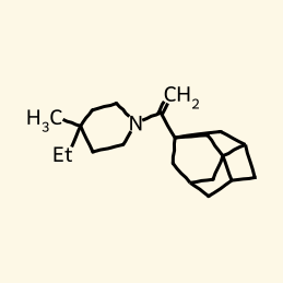 C=C(N1CCC(C)(CC)CC1)C12CC3CC4CC(C1)C4(C3)C2